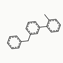 Cc1ccccc1-c1[c]ccc(Cc2ccccc2)c1